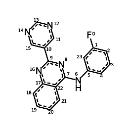 Fc1cccc(Nc2nc(-c3cncnc3)nc3ccccc23)c1